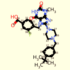 Cn1c(=O)[nH]c(=O)c2c1nc(N1CCN(Cc3ccc(C(C)(C)C)cc3)CC1)n2Cc1ccc(C(=O)O)cc1F